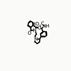 O=C(O)NCc1cccc(C2CCCN2CCN2C(=O)c3ccccc3C2=O)c1